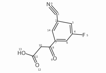 N#Cc1cc(F)cc(C(=O)CC(=O)O)c1